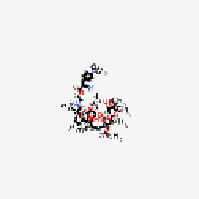 CC[C@@H](C(=O)[C@@H](C)[C@@H](O)[C@H](C)[C@@H]1O[C@@H]([C@@H](CC)C(=O)NCCOC(=O)/C(C#N)=C/c2ccc(N(C)C)cc2)CC[C@@H]1C)[C@H]1OO[C@@]2(CC[C@@](C)([C@H]3CC[C@](O)(CC)[C@H](C)O3)O2)[C@H](OC(C)=O)/C=C\[C@H](C)C[C@@H]1C